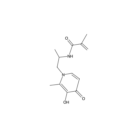 C=C(C)C(=O)NC(C)Cn1ccc(=O)c(O)c1C